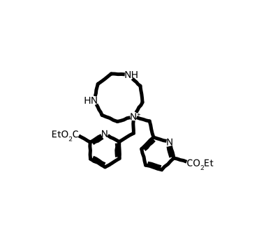 CCOC(=O)c1cccc(C[N+]2(Cc3cccc(C(=O)OCC)n3)CCNCCNCC2)n1